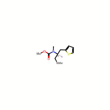 CNC[C@](I)(Cc1cccs1)N(C)C(=O)OC(C)(C)C